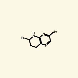 CC(C)c1cnc2c(n1)NC(C(C)C)CC2